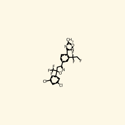 Cc1nc(-c2ccc(C3=NOC(c4cc(Cl)cc(Cl)c4)(C(F)(F)F)C3)cc2C(F)(F)CF)no1